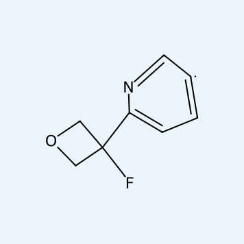 FC1(c2cc[c]cn2)COC1